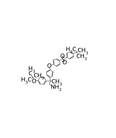 CC(C)(C)Oc1ccc(C(C)(CN)c2ccc(Oc3ccc(S(=O)(=O)c4ccc(C(C)(C)C)cc4)cc3)cc2)cc1